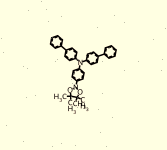 CC1(C)ON(c2ccc(N(c3ccc(-c4ccccc4)cc3)c3ccc(-c4ccccc4)cc3)cc2)OC1(C)C